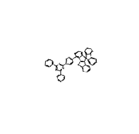 c1ccc(-c2nc(-c3ccccc3)nc(-c3ccc(-c4cccc5c4-c4sc6ccccc6c4C54c5ccccc5-c5ccccc54)cc3)n2)cc1